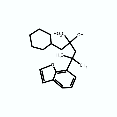 CC(C)(CC(O)(CC1CCCCC1)C(=O)O)c1cccc2ccoc12